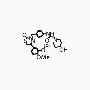 COc1ccc(C2=NN(Cc3ccc(NC(=O)CN4CCC(O)CC4)cc3)C(=O)SC2)cc1OC(C)C